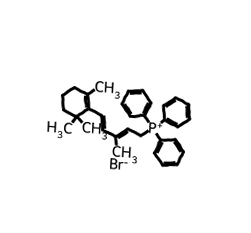 CC(C=CC1=C(C)CCCC1(C)C)=CC[P+](c1ccccc1)(c1ccccc1)c1ccccc1.[Br-]